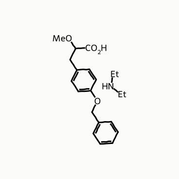 CCNCC.COC(Cc1ccc(OCc2ccccc2)cc1)C(=O)O